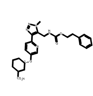 Cn1nnc(-c2ccc(O[C@H]3CCCC(C(=O)O)C3)cn2)c1CNC(=O)OCCc1ccccc1